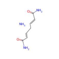 N.NC(=O)C=CCC=CC(N)=O